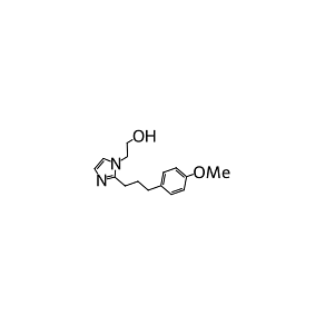 COc1ccc(CCCc2nccn2CCO)cc1